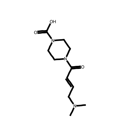 CN(C)CC=CC(=O)N1CCN(C(=O)O)CC1